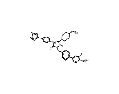 CC(=O)Nc1ccc(-c2ccc(C[C@H](NC(=O)C3CCC(CN)CC3)C(=O)Nc3ccc(-c4nn[nH]n4)cc3)cc2)cc1F